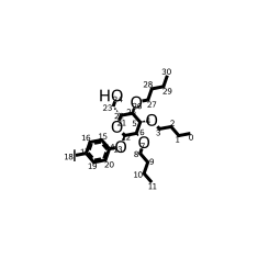 CCCCO[C@@H]1[C@H](OCCCC)[C@@H](Oc2ccc(I)cc2)O[C@H](CO)[C@H]1OCCCC